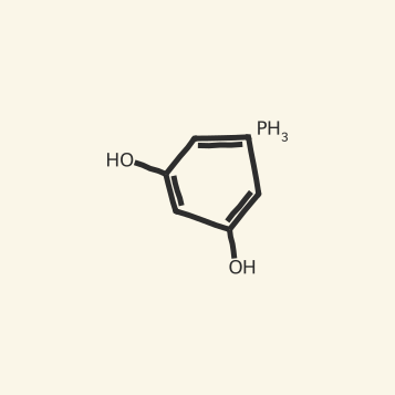 Oc1cccc(O)c1.P